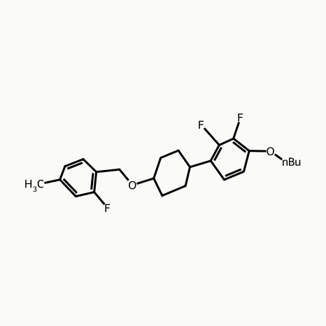 CCCCOc1ccc(C2CCC(OCc3ccc(C)cc3F)CC2)c(F)c1F